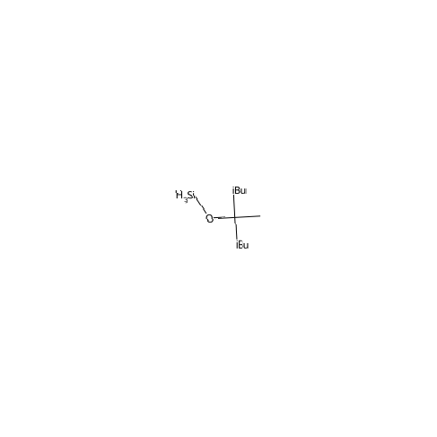 CCC(C)C(C)(O[SiH3])C(C)CC